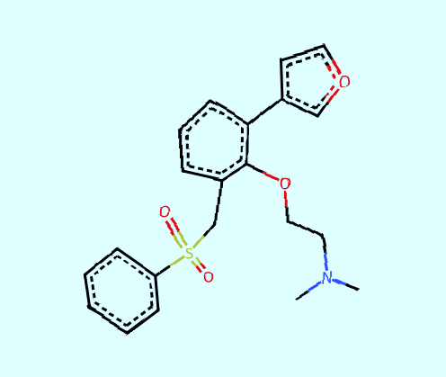 CN(C)CCOc1c(CS(=O)(=O)c2ccccc2)cccc1-c1ccoc1